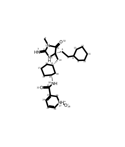 CN1C(=N)N[C@](CCC2CCCCC2)(C[C@H]2CCC[C@@H](NC(=O)C3=CC=C[NH+]([O-])C3)C2)C1=O